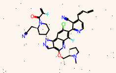 C=C/C=C\c1ccnc(-c2c(Cl)cc3c(nc(O[C@@H](C)[C@@H]4CCCN4C)c4cnn([C@H]5CCN(C(=O)C(=C)F)[C@H](CC#N)C5)c43)c2F)c1C#N